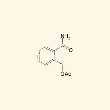 CC(=O)OCc1ccccc1C(N)=O